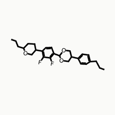 CCCc1ccc(C2COC(c3ccc(C4CCC(CCC)OC4)c(F)c3F)OC2)cc1